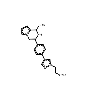 COCCn1cc(-c2ccc(C3=Cn4cccc4C(C=O)N3)cc2)cn1